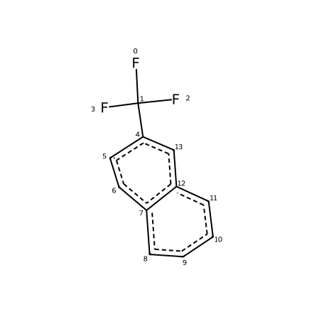 FC(F)(F)c1[c]cc2ccccc2c1